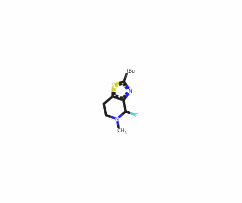 CN1CCc2sc(C(C)(C)C)nc2C1F